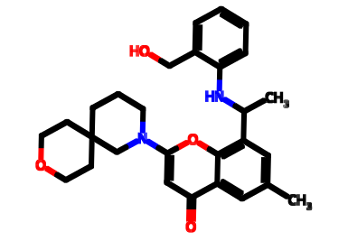 Cc1cc(C(C)Nc2ccccc2CO)c2oc(N3CCCC4(CCOCC4)C3)cc(=O)c2c1